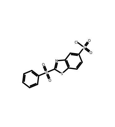 O=S(=O)(Cl)c1ccc2sc(S(=O)(=O)c3ccccc3)nc2c1